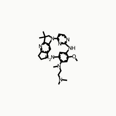 COc1cc(N(C)CCN(C)C)c(N)cc1Nc1nccc(N2CC(C)(C)c3nc4c(cc32)CCC4)n1